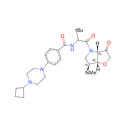 CN[C@H]1CN(C(=O)C(NC(=O)c2ccc(N3CCN(C4CCC4)CC3)cc2)C(C)(C)C)[C@@H]2C(=O)CO[C@H]12